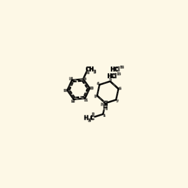 CC[SiH]1CCCCC1.Cc1ccccc1.Cl.Cl